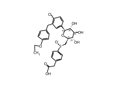 CCOc1ccc(Cc2cc([C@@H]3O[C@H](C[S+]([O-])c4ccc(CC(=O)O)cc4)[C@@H](O)[C@H](O)[C@H]3O)ccc2Cl)cc1